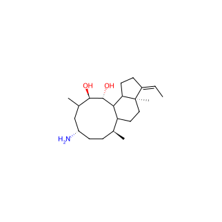 C/C=C1/CCC2C3C(CC[C@]12C)[C@@H](C)CC[C@H](N)CC(C)[C@@H](O)[C@@H]3O